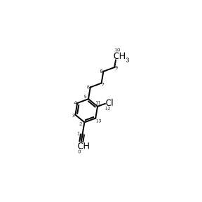 C#Cc1ccc(CCCCC)c(Cl)c1